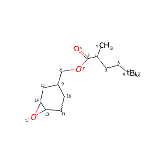 CC(CCC(C)(C)C)C(=O)OCC1CCC2OC2C1